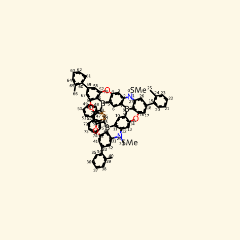 CSN1c2cc3c(cc2B2c4cc5c(cc4Oc4cc(-c6ccccc6C)cc1c42)N(SC)c1cc(-c2ccccc2C)cc2c1B5C1Sc4ccccc4C1O2)B1c2c(cc(-c4ccccc4C)cc2OC2c4ccccc4SC12)O3